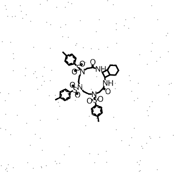 Cc1ccc(S(=O)(=O)N2CCN(S(=O)(=O)c3ccc(C)cc3)CC(=O)NC3C4CCCCC4C3NC(=O)CN(S(=O)(=O)c3ccc(C)cc3)CC2)cc1